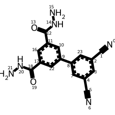 N#Cc1cc(C#N)cc(-c2cc(C(=O)NN)cc(C(=O)NN)c2)c1